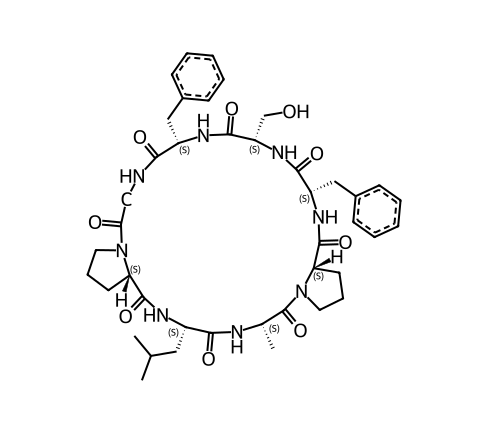 CC(C)C[C@@H]1NC(=O)[C@@H]2CCCN2C(=O)CNC(=O)[C@H](Cc2ccccc2)NC(=O)[C@H](CO)NC(=O)[C@H](Cc2ccccc2)NC(=O)[C@@H]2CCCN2C(=O)[C@H](C)NC1=O